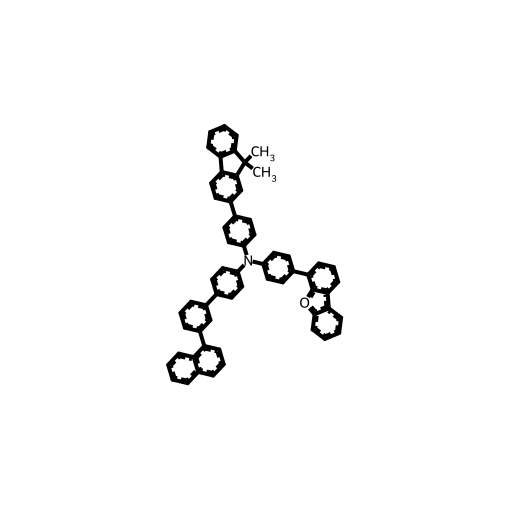 CC1(C)c2ccccc2-c2ccc(-c3ccc(N(c4ccc(-c5cccc(-c6cccc7ccccc67)c5)cc4)c4ccc(-c5cccc6c5oc5ccccc56)cc4)cc3)cc21